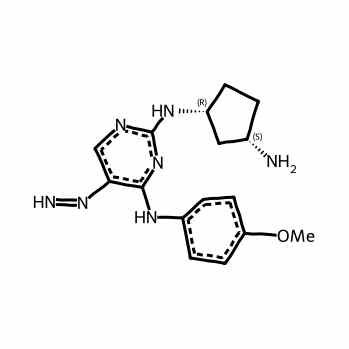 COc1ccc(Nc2nc(N[C@@H]3CC[C@H](N)C3)ncc2N=N)cc1